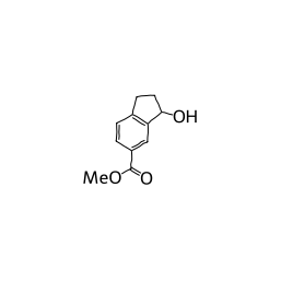 COC(=O)c1ccc2c(c1)C(O)CC2